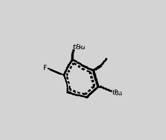 Cc1c(C(C)(C)C)ccc(F)c1C(C)(C)C